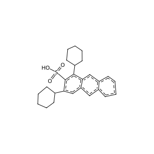 O=S(=O)(O)c1c(C2CCCCC2)cc2cc3ccccc3cc2c1C1CCCCC1